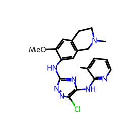 COc1cc2c(cc1Nc1nnc(Cl)c(Nc3ncccc3C)n1)CN(C)CC2